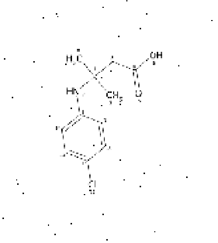 CC(C)(CC(=O)O)Nc1ccc(Cl)cc1